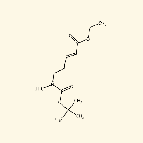 CCOC(=O)/C=C/CCN(C)C(=O)OC(C)(C)C